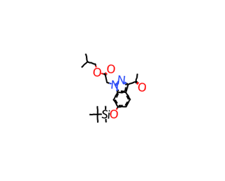 CC(=O)c1nn(CC(=O)OCC(C)C)c2cc(O[Si](C)(C)C(C)(C)C)ccc12